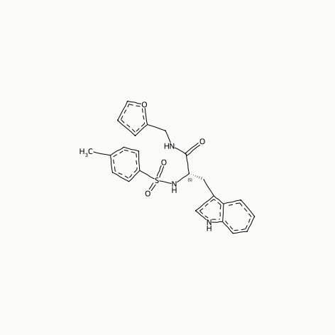 Cc1ccc(S(=O)(=O)N[C@@H](Cc2c[nH]c3ccccc23)C(=O)NCc2ccco2)cc1